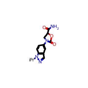 CC(C)n1ncc2cc(N3CC(C(N)=O)OC3=O)ccc21